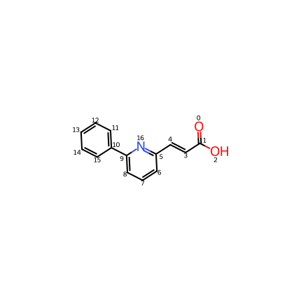 O=C(O)C=Cc1cccc(-c2ccccc2)n1